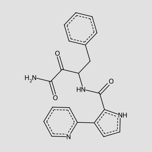 NC(=O)C(=O)C(Cc1ccccc1)NC(=O)c1[nH]ccc1-c1ccccn1